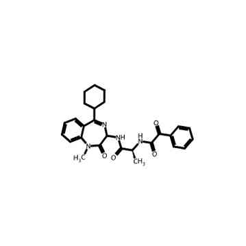 C[C@H](NC(=O)C(=O)c1ccccc1)C(=O)NC1N=C(C2CCCCC2)c2ccccc2N(C)C1=O